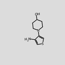 Nc1cscc1N1CCC(O)CC1